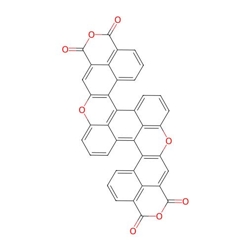 O=c1oc(=O)c2cc3oc4cccc5c4c(c4cccc6oc7cc8c(=O)oc(=O)c9cccc(c98)c7c5c64)c3c3cccc1c23